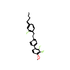 CCCCCc1ccc(CCc2ccc(-c3ccc(OC)c(F)c3F)cc2)c(F)c1